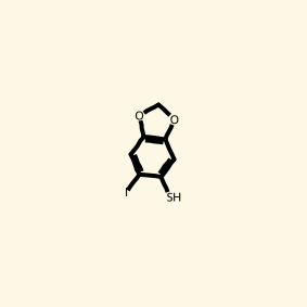 Sc1cc2c(cc1I)OCO2